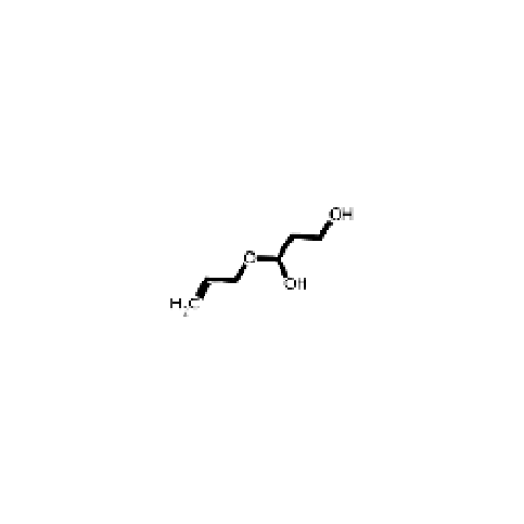 C=CCOC(O)CCO